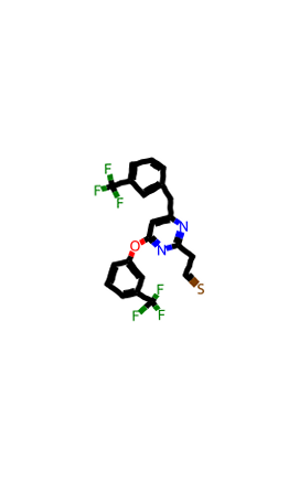 FC(F)(F)c1cccc(Cc2cc(Oc3cccc(C(F)(F)F)c3)nc(CC=S)n2)c1